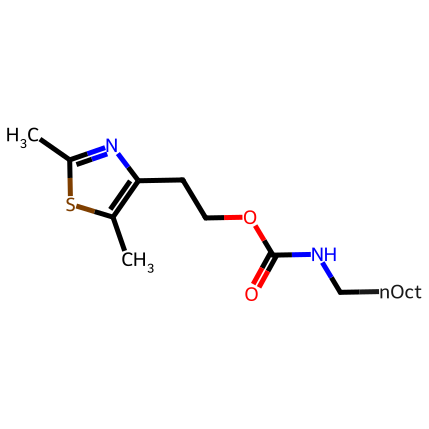 CCCCCCCCCNC(=O)OCCc1nc(C)sc1C